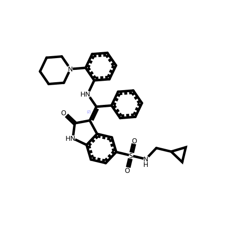 O=C1Nc2ccc(S(=O)(=O)NCC3CC3)cc2/C1=C(/Nc1ccccc1N1CCCCC1)c1ccccc1